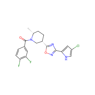 C[C@@H]1CC[C@H](c2nc(-c3cc(Cl)c[nH]3)no2)CN1C(=O)c1ccc(F)c(F)c1